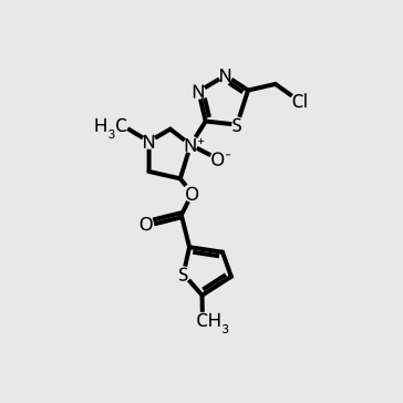 Cc1ccc(C(=O)OC2CN(C)C[N+]2([O-])c2nnc(CCl)s2)s1